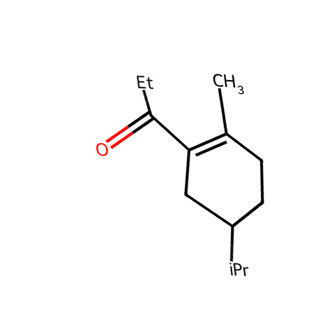 CCC(=O)C1=C(C)CCC(C(C)C)C1